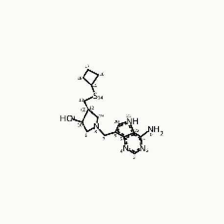 Nc1ncnc2c(CN3CC(O)[C@@H](CSC4CCC4)C3)c[nH]c12